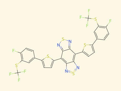 Fc1ccc(-c2ccc(-c3c4c(c(-c5ccc(-c6ccc(F)c(SC(F)(F)F)c6)s5)c5nsnc35)N=S=N4)s2)cc1SC(F)(F)F